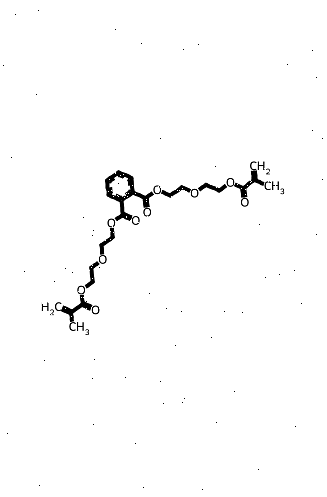 C=C(C)C(=O)OCCOCCOC(=O)c1ccccc1C(=O)OCCOCCOC(=O)C(=C)C